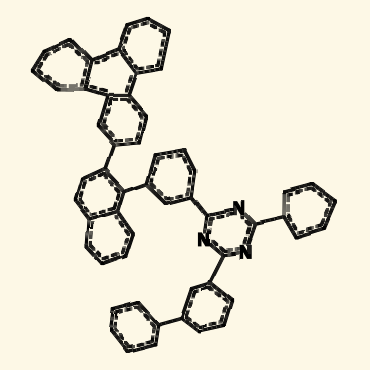 c1ccc(-c2cccc(-c3nc(-c4ccccc4)nc(-c4cccc(-c5c(-c6ccc7c8ccccc8c8ccccc8c7c6)ccc6ccccc56)c4)n3)c2)cc1